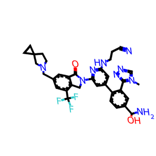 Cn1cnnc1-c1cc(C(N)O)ccc1-c1cc(NCCC#N)nc(N2Cc3c(cc(CN4CCC5(CC5)C4)cc3C(F)(F)F)C2=O)c1